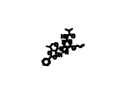 C=CCOc1nc(NC(=O)C(C)C)nc2c1ncn2C1OCC(C)C(OC(=O)c2ccccc2)C1O